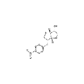 O=[N+]([O-])c1ccc(O[C@@H]2CO[C@H]3[C@@H]2OC[C@H]3O)cc1